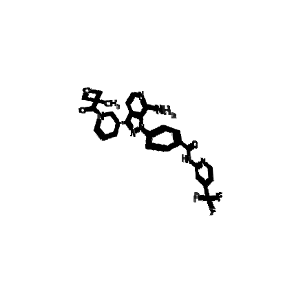 CC1(C(=O)N2CCC[C@@H](c3nn(-c4ccc(C(=O)Nc5cc(C(F)(F)F)ccn5)cc4)c4c(N)nccc34)C2)COC1